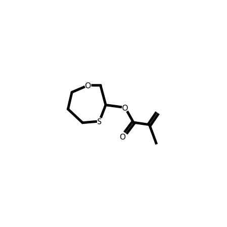 C=C(C)C(=O)OC1COCCCS1